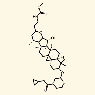 COC(=O)NCCC1C[C@@H](C)C2C(O1)[C@H](O)[C@@]1(C)[C@@H]3CC[C@H]4C(C)(C)[C@@H](OC5CN(C(=O)CC6CC6)CCO5)CC[C@@]45C[C@@]35CC[C@]21C